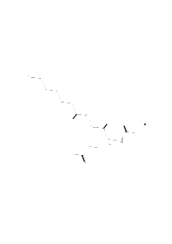 CC(C)(C)OC(=O)N[C@H](CCC(=O)O)C(=O)NNC(=O)CCCCCN